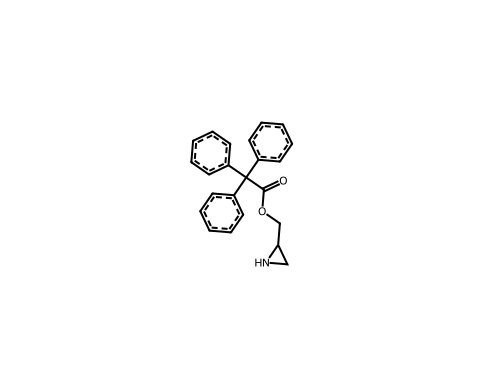 O=C(OCC1CN1)C(c1ccccc1)(c1ccccc1)c1ccccc1